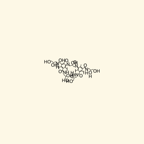 Cc1c(C(=O)NCC(O)CO)c(I)c(C(=O)NCC(O)CO)c(I)c1N(C=O)CC(O)CN(C=O)c1c(C)c(C(O)NCC(O)CO)c(I)c(C(=O)NCC(O)CO)c1I